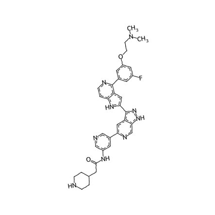 CN(C)CCOc1cc(F)cc(-c2nccc3[nH]c(-c4n[nH]c5cnc(-c6cncc(NC(=O)CC7CCNCC7)c6)cc45)cc23)c1